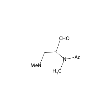 CNCC(C=O)N(C)C(C)=O